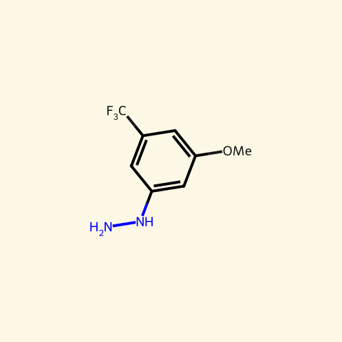 COc1cc(NN)cc(C(F)(F)F)c1